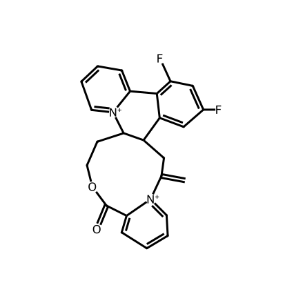 C=C1CC2c3cc(F)cc(F)c3-c3cccc[n+]3C2CCOC(=O)c2cccc[n+]21